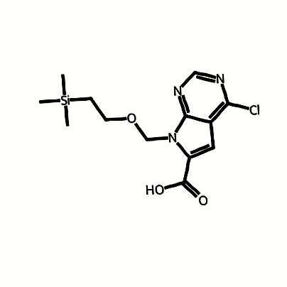 C[Si](C)(C)CCOCn1c(C(=O)O)cc2c(Cl)ncnc21